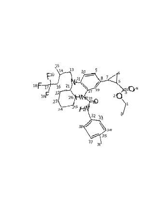 CCOC(=O)C1CC1c1ccc(N(CC(C)CC(F)(F)F)C2CCCCC2)c(NC(=O)Nc2ccc(C)cc2)c1